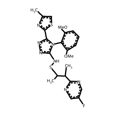 COc1cccc(OC)c1-n1c(NSC(C)C(C)c2ncc(F)cn2)nnc1-c1nc(C)cs1